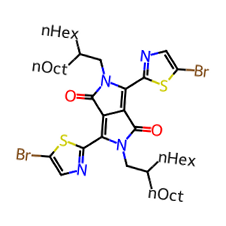 CCCCCCCCC(CCCCCC)CN1C(=O)C2=C(c3ncc(Br)s3)N(CC(CCCCCC)CCCCCCCC)C(=O)C2=C1c1ncc(Br)s1